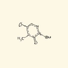 Cc1c(Cl)cnn(C(C)(C)C)c1=O